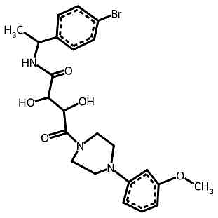 COc1cccc(N2CCN(C(=O)C(O)C(O)C(=O)NC(C)c3ccc(Br)cc3)CC2)c1